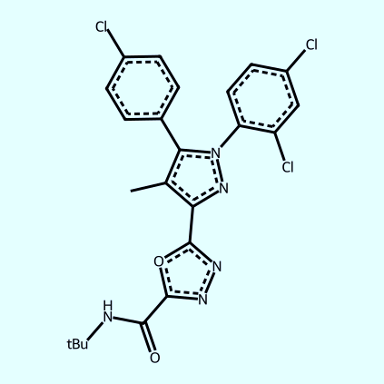 Cc1c(-c2nnc(C(=O)NC(C)(C)C)o2)nn(-c2ccc(Cl)cc2Cl)c1-c1ccc(Cl)cc1